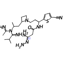 CC(=N)N(C(=N)C(C)C)C(C)CC1CCN1CCC(NC(=O)C/C(N)=N/N)c1ccc(C#N)s1